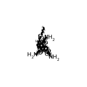 CCCCCCOC(=O)CC[C@@H](C)C1CC[C@H]2[C@@H]3[C@H](OC(=O)CCN)C[C@@H]4C[C@H](OC(=O)CCN)CC[C@]4(C)[C@H]3C[C@H](OC(=O)CCN)[C@]12C